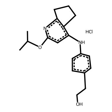 CC(C)Oc1cc(Nc2ccc(CCO)cc2)c2c(n1)CCC2.Cl